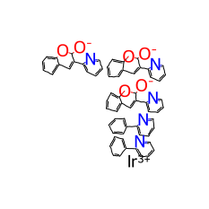 [Ir+3].[O-]C1Oc2ccccc2C=C1c1ccccn1.[O-]C1Oc2ccccc2C=C1c1ccccn1.[O-]C1Oc2ccccc2C=C1c1ccccn1.c1ccc(-c2ccccn2)cc1.c1ccc(-c2ccccn2)cc1